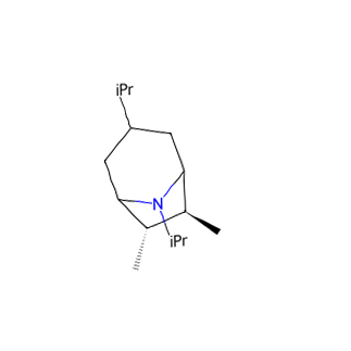 CC(C)C1CC2[C@@H](C)[C@H](C)C(C1)N2C(C)C